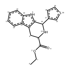 CCOC(=O)C1Cc2c([nH]c3ccccc23)C(c2ccsc2)N1